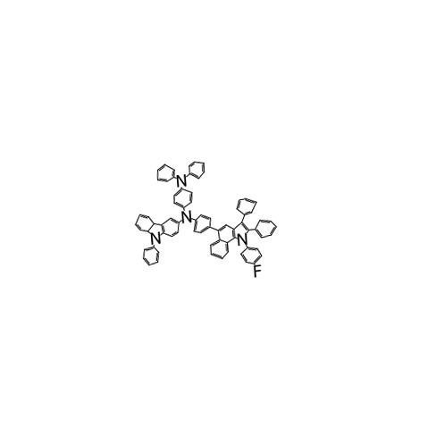 Fc1ccc(-n2c(-c3ccccc3)c(-c3ccccc3)c3cc(-c4ccc(N(c5ccc(N(c6ccccc6)c6ccccc6)cc5)c5ccc6c(c5)C5C=CC=CC5N6c5ccccc5)cc4)c4ccccc4c32)cc1